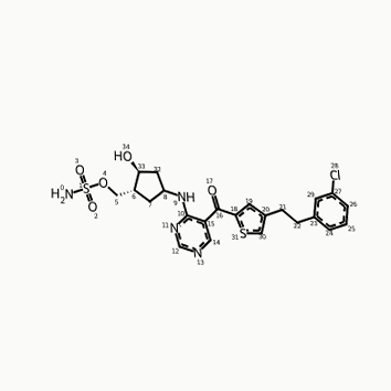 NS(=O)(=O)OC[C@H]1CC(Nc2ncncc2C(=O)c2cc(CCc3cccc(Cl)c3)cs2)C[C@@H]1O